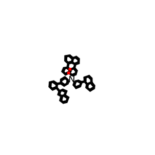 c1ccc(-c2cccc3cccc(-c4ccc(N(c5ccc(-c6ccccc6-c6ccc7ccccc7c6)cc5)c5cccc(-c6cccc7ccccc67)c5)cc4)c23)cc1